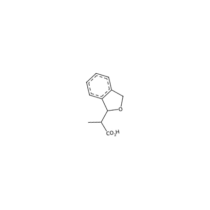 CC(C(=O)O)C1OCc2ccccc21